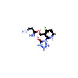 N=C(/C=C\N)OCc1c(F)ccnc1N1NNNC1=O